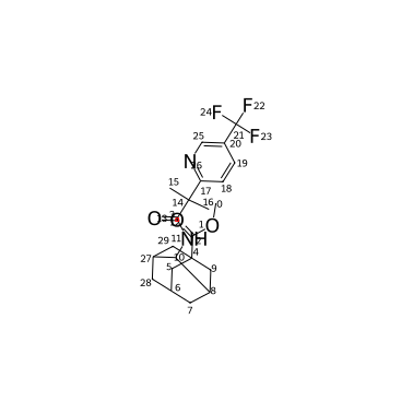 COC(=O)C12CC3CC(C1)C(NC(=O)C(C)(C)c1ccc(C(F)(F)F)cn1)C(C3)C2